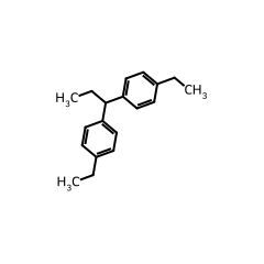 CCc1ccc(C(CC)c2ccc(CC)cc2)cc1